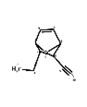 CCC1C2C=CC(O2)C1C#N